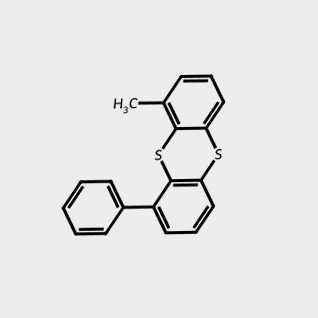 Cc1cccc2c1Sc1c(cccc1-c1ccccc1)S2